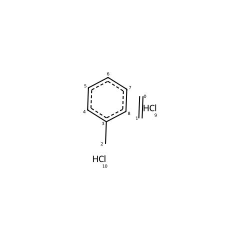 C=C.Cc1ccccc1.Cl.Cl